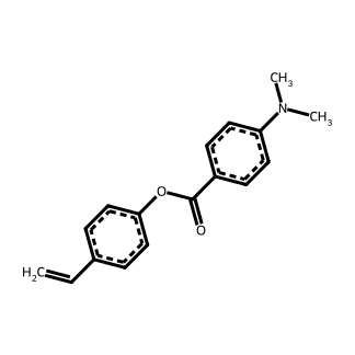 C=Cc1ccc(OC(=O)c2ccc(N(C)C)cc2)cc1